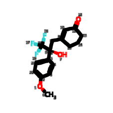 COc1ccc([C@@](O)(CC2=CC(=O)CCC2)C(F)(F)F)cc1